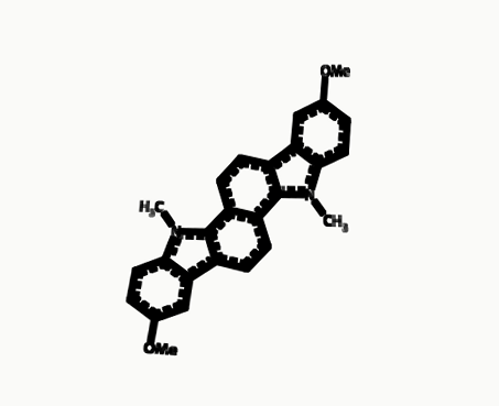 COc1ccc2c(c1)c1ccc3c(ccc4c5cc(OC)ccc5n(C)c43)c1n2C